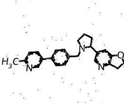 Cc1ccc(-c2ccc(CN3CCCC3c3cnc4c(c3)OCC4)cc2)cn1